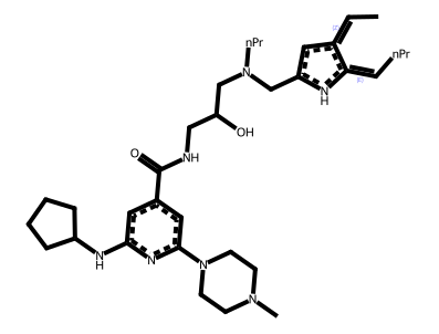 C/C=c1/cc(CN(CCC)CC(O)CNC(=O)c2cc(NC3CCCC3)nc(N3CCN(C)CC3)c2)[nH]/c1=C/CCC